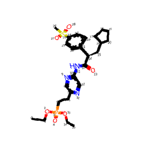 CCOP(=O)(CCc1cnc(NC(=O)[C@H](CC2CCCC2)c2ccc(S(C)(=O)=O)cc2)cn1)OCC